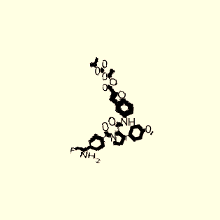 COC1CCC([C@@H]2CCN(C(=O)[C@H]3CC[C@H]([C@H](N)CF)CC3)[C@@H]2C(=O)Nc2ccc3oc(C(=O)OC(C)OC(=O)OC(C)C)cc3c2)CC1